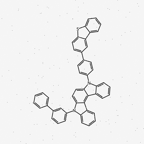 c1ccc(-c2cccc(-n3c4ccccc4c4c5c6ccccc6n(-c6ccc(-c7ccc8sc9ccccc9c8c7)cc6)c5ccc43)c2)cc1